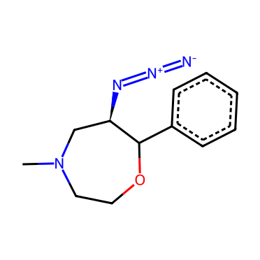 CN1CCOC(c2ccccc2)[C@H](N=[N+]=[N-])C1